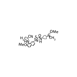 C=C(C#N)CNc1c(OC)ccc2ccc(-c3csc(C(=O)N[C@H]4CC[C@H](N(C)CCOC)CC4)n3)cc12